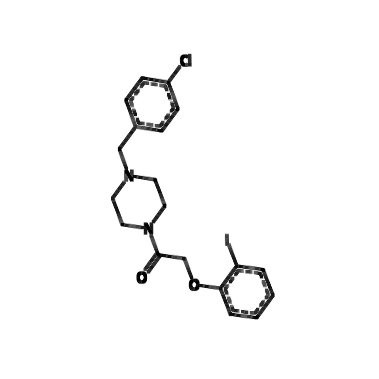 O=C(COc1ccccc1I)N1CCN(Cc2ccc(Cl)cc2)CC1